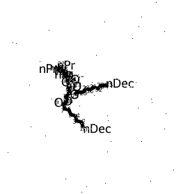 CCCCCCCCCCCCCCCCCC(=O)OCC(COP(=O)([O-])OCC[N+](CCC)(CCC)CCC)OC(=O)CCCCCCCCCCCCCCCCC